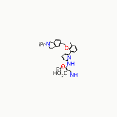 CCO/C(Nc1cccc(-c2cccc(C)c2OCc2ccc3c(c2)CCN(C(C)C)C3)n1)=C(/C=N)C(=O)O